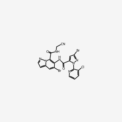 N#CCNC(=O)c1c(NC(=O)c2cc(Br)nn2-c2ncccc2Cl)c(Br)cc2ccnn12